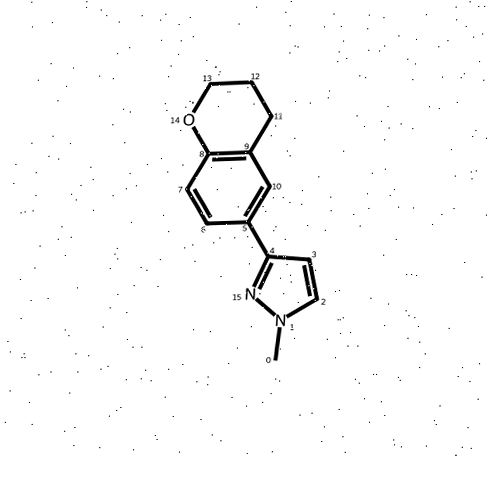 Cn1ccc(-c2ccc3c(c2)CCCO3)n1